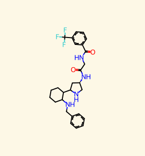 O=C(CNC(=O)c1cccc(C(F)(F)F)c1)N[C@H]1CNC(C2CCCCC2NCc2ccccc2)C1